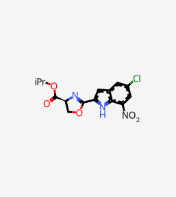 CC(C)OC(=O)[C@@H]1COC(c2cc3cc(Cl)cc([N+](=O)[O-])c3[nH]2)=N1